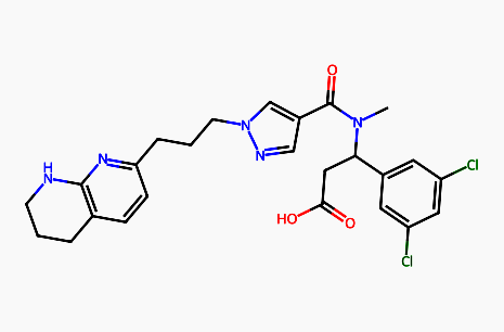 CN(C(=O)c1cnn(CCCc2ccc3c(n2)NCCC3)c1)C(CC(=O)O)c1cc(Cl)cc(Cl)c1